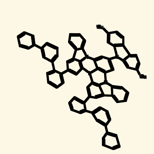 CC(C)(C)c1ccc2c3ccc(C(C)(C)C)cc3n(-c3cc4c5c(c3)-n3c6ccccc6c6cc(-c7ccccc7-c7cccc(-c8ccccc8)c7)cc(c63)B5c3cc(-c5ccccc5-c5cccc(-c6ccccc6)c5)cc5c6ccccc6n-4c35)c2c1